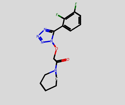 O=C(COn1nnnc1-c1cccc(F)c1F)N1CCCCC1